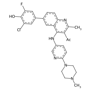 CC(=O)c1c(C)nc2ccc(-c3cc(F)c(O)c(Cl)c3)cc2c1Nc1ccc(N2CCN(C)CC2)nc1